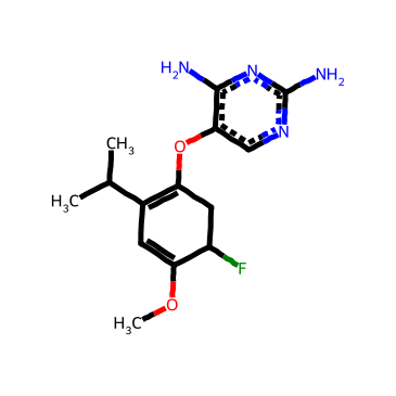 COC1=CC(C(C)C)=C(Oc2cnc(N)nc2N)CC1F